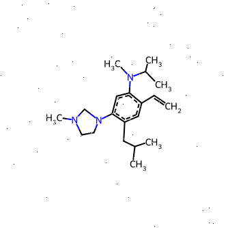 C=Cc1cc(CC(C)C)c(N2CCN(C)C2)cc1N(C)C(C)C